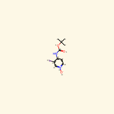 CC(C)(C)OC(=O)Nc1cc[n+]([O-])cc1I